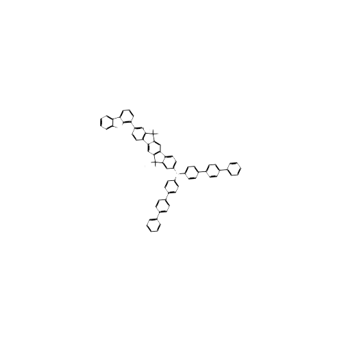 CC1(C)c2cc(-c3cccc4c3oc3ccccc34)ccc2-c2cc3c(cc21)-c1ccc(N(c2ccc(-c4ccc(-c5ccccc5)cc4)cc2)c2ccc(-c4ccc(-c5ccccc5)cc4)cc2)cc1C3(C)C